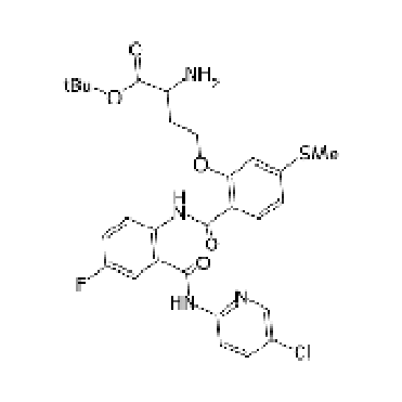 CSc1ccc(C(=O)Nc2ccc(F)cc2C(=O)Nc2ccc(Cl)cn2)c(OCCC(N)C(=O)OC(C)(C)C)c1